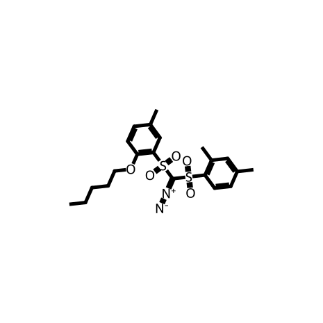 CCCCCOc1ccc(C)cc1S(=O)(=O)C(=[N+]=[N-])S(=O)(=O)c1ccc(C)cc1C